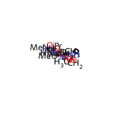 C=C(C)OC(=O)[C@H](Cc1ccccc1)NC(=O)[C@H](C)[C@@H](OC)[C@@H]1CCCN1C(=O)C[C@@H](OC)[C@H]([C@@H](C)CC)N(C)C(=O)[C@@H](NC(=O)[C@@H](NC)C(C)C)C(C)C